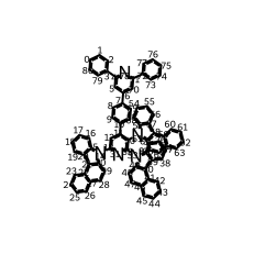 c1ccc(-c2cc(-c3ccc(-c4cc(-n5c6ccccc6c6c7ccccc7ccc65)nc(-n5c6ccccc6c6c7ccccc7ccc65)c4-n4c5ccccc5c5c6ccccc6ccc54)cc3)cc(-c3ccccc3)n2)cc1